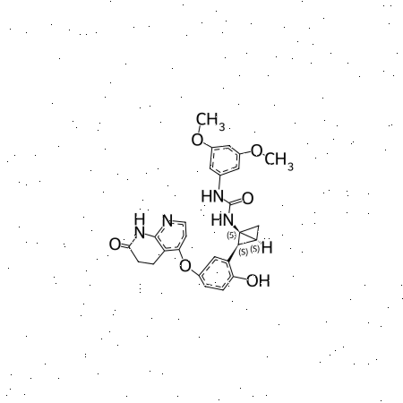 COc1cc(NC(=O)N[C@@]23C[C@H]2[C@H]3c2cc(Oc3ccnc4c3CCC(=O)N4)ccc2O)cc(OC)c1